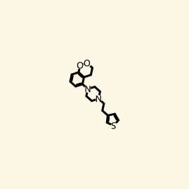 c1cc2c(c(N3CCN(CCc4ccsc4)CC3)c1)CCOO2